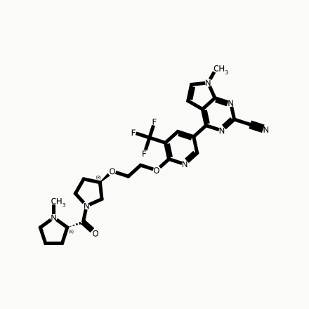 CN1CCC[C@H]1C(=O)N1CC[C@@H](OCCOc2ncc(-c3nc(C#N)nc4c3ccn4C)cc2C(F)(F)F)C1